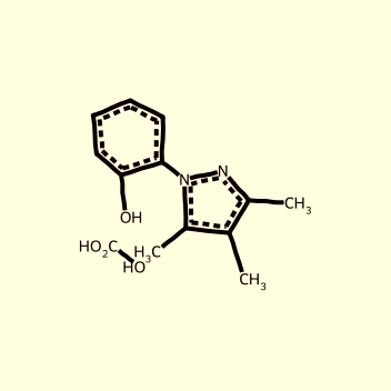 Cc1nn(-c2ccccc2O)c(C)c1C.O=C(O)O